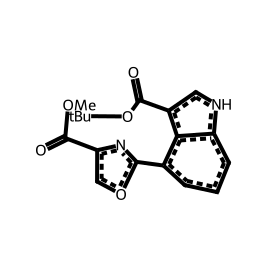 COC(=O)c1coc(-c2cccc3[nH]cc(C(=O)OC(C)(C)C)c23)n1